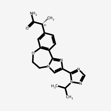 CC(C)n1ncnc1-c1cn2c(n1)-c1ccc([C@@H](C)C(N)=O)cc1OCC2